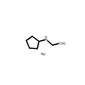 O=C([O-])CNC1CCCC1.[Na+]